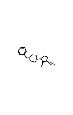 CC1CCN(N2CCN(Cc3ccccc3)CC2)C1=O